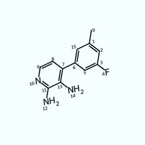 Cc1cc(F)cc(-c2ccnc(N)c2N)c1